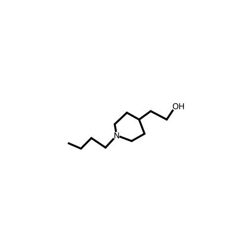 CCCCN1CCC(CCO)CC1